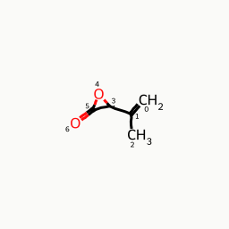 C=C(C)[C]1OC1=O